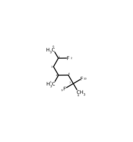 CC(F)CC(C)CC(C)(F)F